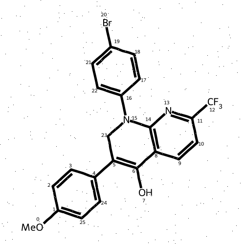 COc1ccc(C2=C(O)c3ccc(C(F)(F)F)nc3N(c3ccc(Br)cc3)C2)cc1